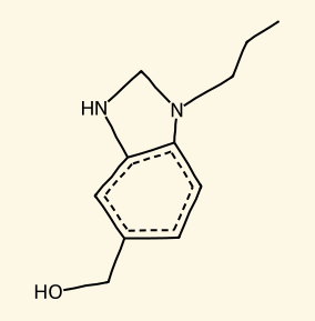 CCCN1CNc2cc(CO)ccc21